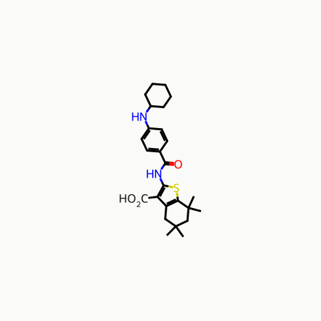 CC1(C)Cc2c(sc(NC(=O)c3ccc(NC4CCCCC4)cc3)c2C(=O)O)C(C)(C)C1